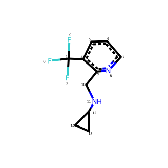 FC(F)(F)c1cccnc1CNC1CC1